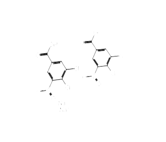 O=C(O)c1cc(Cl)c(Cl)c(S(=O)[O-])c1.O=C(O)c1cc(Cl)c(Cl)c(S(=O)[O-])c1.[Na+].[Na+]